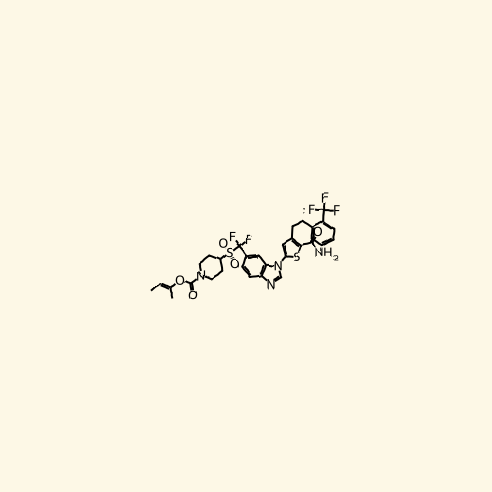 C/C=C(\C)OC(=O)N1CCC(S(=O)(=O)C(F)(F)c2ccc3ncn(-c4cc(C[C@H](C)c5ccccc5C(F)(F)F)c(C(N)=O)s4)c3c2)CC1